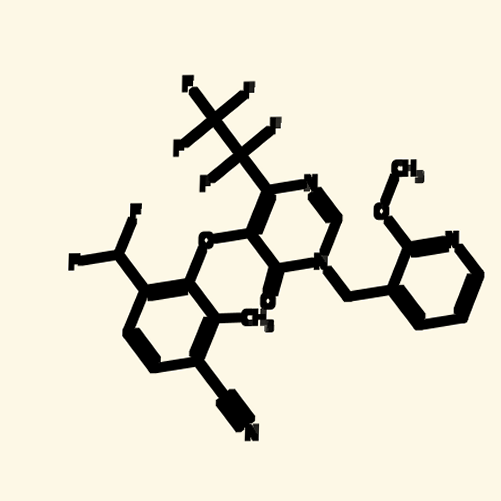 COc1ncccc1Cn1cnc(C(F)(F)C(F)(F)F)c(Oc2c(C(F)F)ccc(C#N)c2C)c1=O